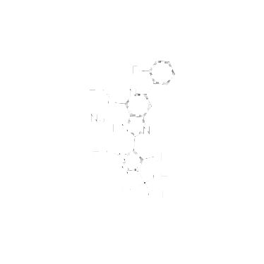 COc1nc(-c2ccccc2F)cc2nc(-c3c(Cl)c(C(C)(C)C)nn3C)[nH]c12.[Na]